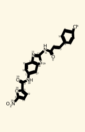 O=C(/C=C/c1ccc(Cl)cc1)Nc1nc2ccc(NC(=O)c3ccc([N+](=O)[O-])o3)cc2s1